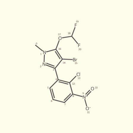 Cn1nc(-c2cccc([N+](=O)[O-])c2Cl)c(Br)c1OC(F)F